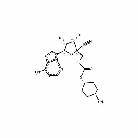 C[C@H]1CC[C@H](OC(=O)OC[C@@]2(C#N)O[C@@H](c3ccc4c(N)ncnn34)[C@H](O)[C@@H]2O)CC1